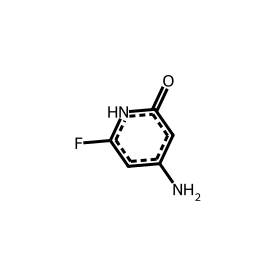 Nc1cc(F)[nH]c(=O)c1